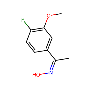 COc1cc(/C(C)=N\O)ccc1F